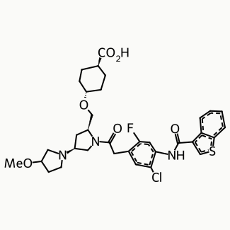 COC1CCN([C@H]2C[C@@H](CO[C@H]3CC[C@H](C(=O)O)CC3)N(C(=O)Cc3cc(Cl)c(NC(=O)c4csc5ccccc45)cc3F)C2)C1